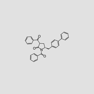 O=C(c1ccccc1)C1C[C@@H](Cc2ccc(-c3ccccc3)cc2)N(C(=O)c2ccccc2)C1=O